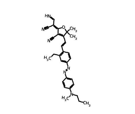 CCCN(C)c1ccc(/N=N/c2ccc(/C=C/C3=C(C#N)C(=C(\C#N)C=N)/OC3(C)C)c(CC)c2)cc1